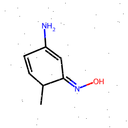 CC1C=CC(N)=CC1=NO